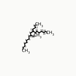 CCCCCCCCC([CH]C(CCCC)CCCCCCC)CC